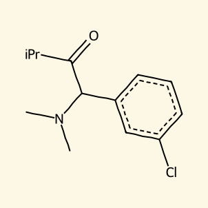 CC(C)C(=O)C(c1cccc(Cl)c1)N(C)C